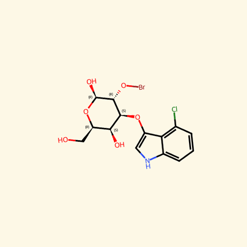 OC[C@H]1O[C@@H](O)[C@H](OBr)[C@@H](Oc2c[nH]c3cccc(Cl)c23)[C@H]1O